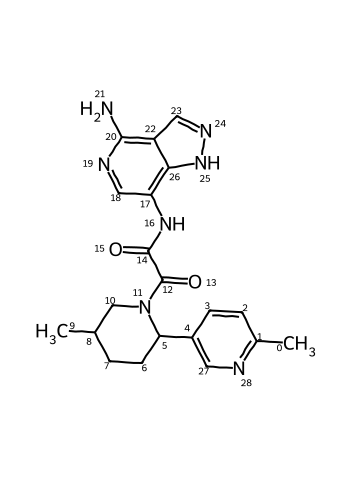 Cc1ccc(C2CCC(C)CN2C(=O)C(=O)Nc2cnc(N)c3cn[nH]c23)cn1